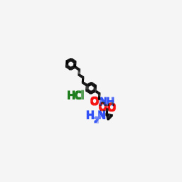 Cl.NC1(C(=O)ONC(=O)Cc2ccc(CCCCc3ccccc3)cc2)CC1